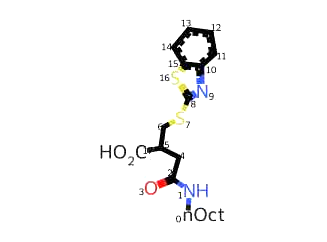 CCCCCCCCNC(=O)CC(CSc1nc2ccccc2s1)C(=O)O